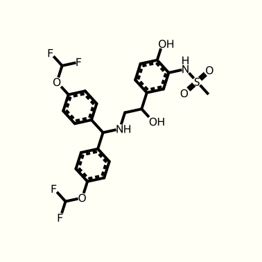 CS(=O)(=O)Nc1cc(C(O)CNC(c2ccc(OC(F)F)cc2)c2ccc(OC(F)F)cc2)ccc1O